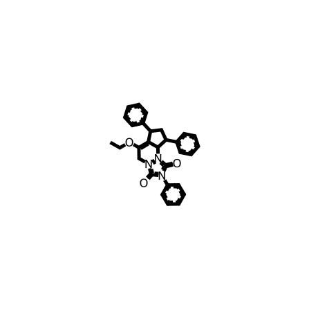 CCOC1=C2C(c3ccccc3)CC(c3ccccc3)C2n2c(=O)n(-c3ccccc3)c(=O)n2C1